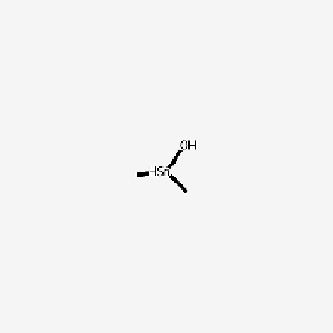 [CH3][SnH]([CH3])[OH]